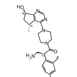 Cc1ccc([C@@H](CN)C(=O)N2CCN(c3ncnc4c3[C@H](C)C[C@H]4O)CC2)c(F)c1